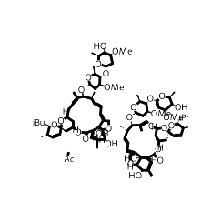 CC(C)=O.CC[C@H](C)[C@H]1O[C@]2(C=C[C@@H]1C)C[C@@H]1C[C@@H](C/C=C(\C)[C@@H](O[C@H]3C[C@H](OC)[C@@H](O[C@H]4C[C@H](OC)[C@@H](O)[C@H](C)O4)[C@H](C)O3)[C@@H](C)/C=C/C=C3\CO[C@@H]4[C@H](O)C(C)=C[C@@H](C(=O)O1)[C@]34O)O2.CO[C@H]1C[C@H](O[C@H]2[C@H](C)O[C@@H](O[C@@H]3/C(C)=C/C[C@@H]4C[C@@H](C[C@]5(C=C[C@H](C)[C@@H](C(C)C)O5)O4)OC(=O)[C@@H]4C=C(C)[C@@H](O)[C@H]5OC/C(=C\C=C\[C@@H]3C)[C@]54O)C[C@@H]2OC)O[C@@H](C)[C@@H]1O